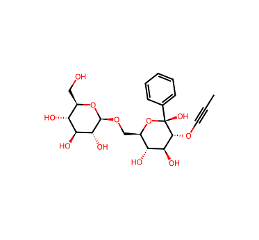 CC#CO[C@@H]1[C@@H](O)[C@H](O)[C@@H](CO[C@@H]2O[C@H](CO)[C@@H](O)[C@H](O)[C@H]2O)O[C@]1(O)c1ccccc1